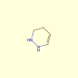 [CH]1C=CNNC1